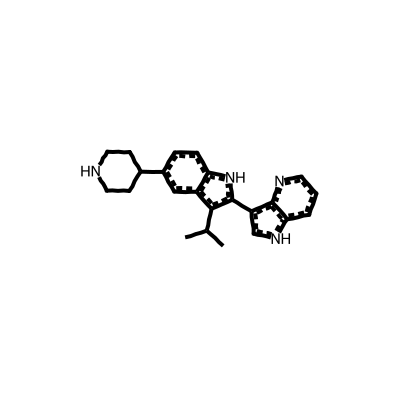 CC(C)c1c(-c2c[nH]c3cccnc23)[nH]c2ccc(C3CCNCC3)cc12